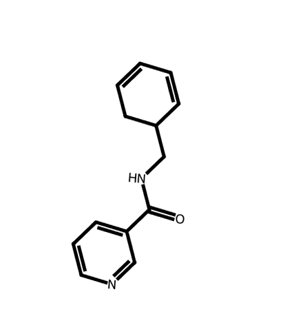 O=C(NCC1C=CC=CC1)c1cccnc1